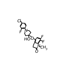 CN1C(=O)CCc2c(OCC3(O)CCN(c4ccc(Cl)cc4F)CC3)cc(F)c(F)c21